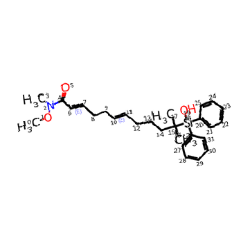 CON(C)C(=O)/C=C/CC/C=C/CCCC(C)(C)[Si](O)(c1ccccc1)c1ccccc1